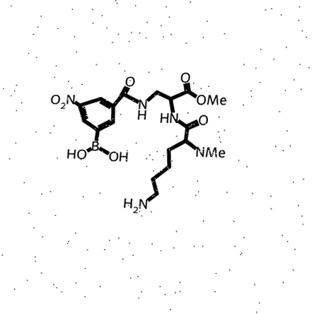 CNC(CCCCN)C(=O)NC(CNC(=O)c1cc(B(O)O)cc([N+](=O)[O-])c1)C(=O)OC